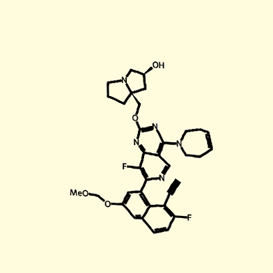 C#Cc1c(F)ccc2cc(OCOC)cc(-c3ncc4c(N5CCC=CCC5)nc(OC[C@@]56CCCN5C[C@@H](O)C6)nc4c3F)c12